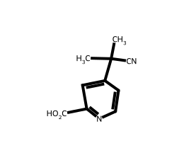 CC(C)(C#N)c1ccnc(C(=O)O)c1